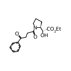 CCOC(=O)[C@H](O)[C@@H]1CCCN1C(=O)CCC(=O)c1ccccc1